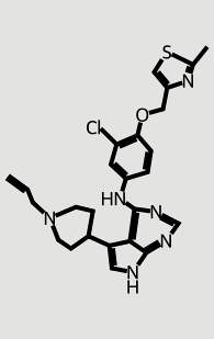 C=CCN1CCC(c2c[nH]c3ncnc(Nc4ccc(OCc5csc(C)n5)c(Cl)c4)c23)CC1